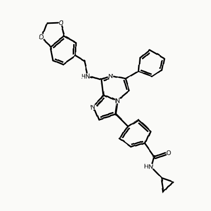 O=C(NC1CC1)c1ccc(-c2cnc3c(NCc4ccc5c(c4)OCO5)nc(-c4ccccc4)cn23)cc1